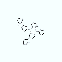 c1ccc(-c2ccc3c(c2)N(c2ccc4oc5ccccc5c4c2)c2cccc4c2N3c2ccccc2S4)cc1